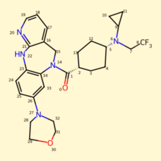 O=C([C@H]1CC[C@@H](N(CC(F)(F)F)C2CC2)CC1)N1Cc2cccnc2Nc2ccc(N3CCOCC3)cc21